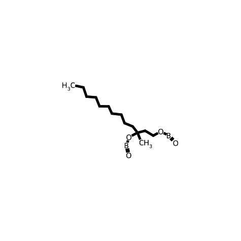 CCCCCCCCCCC(C)(CCOB=O)OB=O